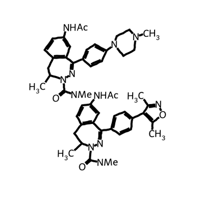 CNC(=O)N1N=C(c2ccc(-c3c(C)noc3C)cc2)c2cc(NC(C)=O)ccc2CC1C.CNC(=O)N1N=C(c2ccc(N3CCN(C)CC3)cc2)c2cc(NC(C)=O)ccc2CC1C